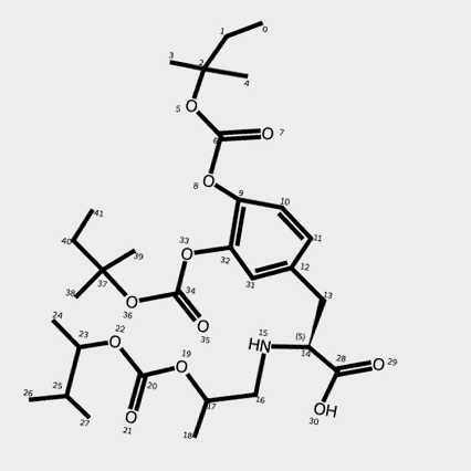 CCC(C)(C)OC(=O)Oc1ccc(C[C@H](NCC(C)OC(=O)OC(C)C(C)C)C(=O)O)cc1OC(=O)OC(C)(C)CC